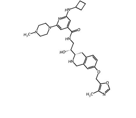 Cc1ncoc1COc1ccc2c(c1)CN[C@H]([C@H](O)CNC(=O)c1cc(NC3CCC3)nc(N3CCN(C)CC3)c1)C2